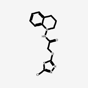 O=C(COc1nnc(Cl)s1)NN1CCCc2ccccc21